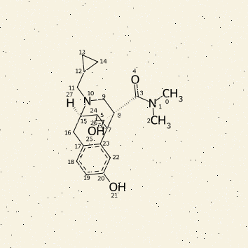 CN(C)C(=O)[C@@H]1C[C@]23CCN(CC4CC4)[C@H](Cc4ccc(O)cc42)[C@]3(O)C1